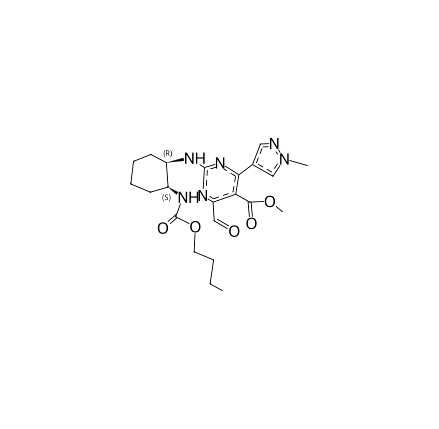 CCCCOC(=O)N[C@H]1CCCC[C@H]1Nc1nc(C=O)c(C(=O)OC)c(-c2cnn(C)c2)n1